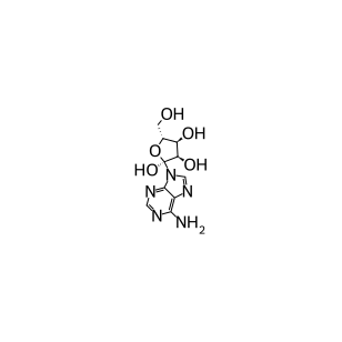 Nc1ncnc2c1ncn2[C@@]1(O)O[C@H](CO)[C@@H](O)[C@H]1O